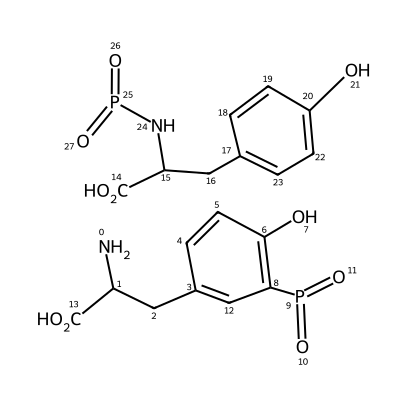 NC(Cc1ccc(O)c(P(=O)=O)c1)C(=O)O.O=C(O)C(Cc1ccc(O)cc1)NP(=O)=O